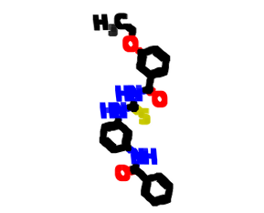 CCOc1cccc(C(=O)NC(=S)Nc2cccc(NC(=O)c3ccccc3)c2)c1